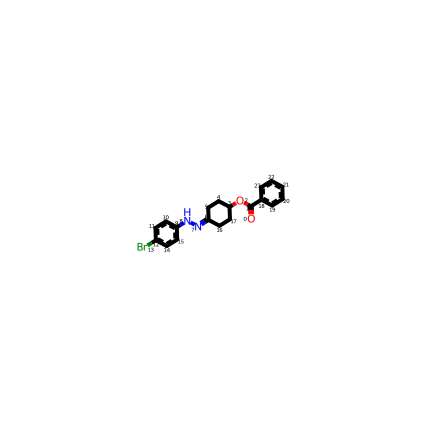 O=C(OC1CCC(=NNc2ccc(Br)cc2)CC1)c1ccccc1